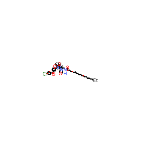 CCC=CCC=CCC=CCC=CCC=CCC=CCCC(=O)NCC(CNC(=O)C(C)(C)Oc1ccc(C(=O)c2ccc(Cl)cc2)cc1)N1CCOCC1